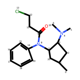 CC1CC(N(C)C)C(N(C(=O)CCCl)c2ccccc2)C1